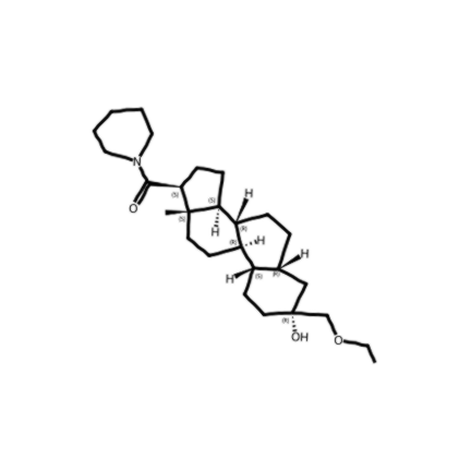 CCOC[C@@]1(O)CC[C@H]2[C@H](CC[C@@H]3[C@@H]2CC[C@]2(C)[C@@H](C(=O)N4CCCCC4)CC[C@@H]32)C1